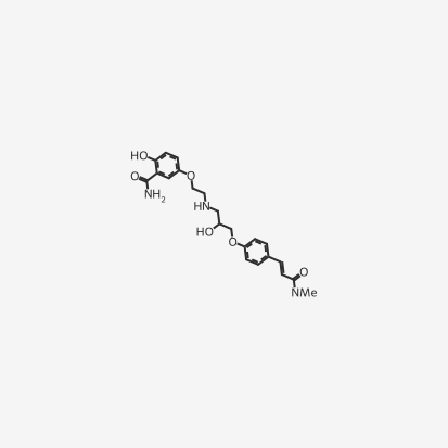 CNC(=O)/C=C/c1ccc(OCC(O)CNCCOc2ccc(O)c(C(N)=O)c2)cc1